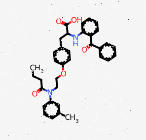 CCCC(=O)N(CCOc1ccc(CC(Nc2ccccc2C(=O)c2ccccc2)C(=O)O)cc1)c1cccc(C)c1